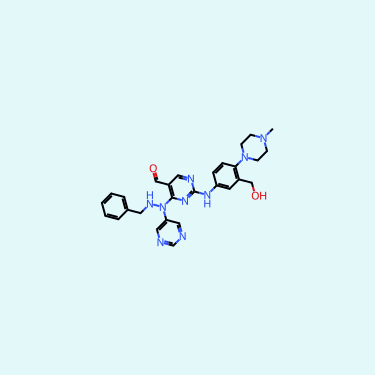 CN1CCN(c2ccc(Nc3ncc(C=O)c(N(NCc4ccccc4)c4cncnc4)n3)cc2CO)CC1